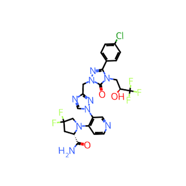 NC(=O)[C@@H]1CC(F)(F)CN1c1ccncc1-n1cnc(Cn2nc(-c3ccc(Cl)cc3)n(C[C@H](O)C(F)(F)F)c2=O)n1